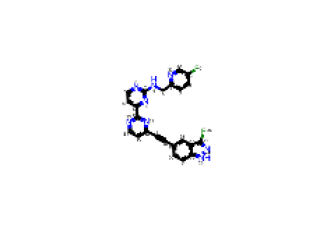 Fc1ccc(CNc2nccc(-c3nccc(C#Cc4ccc5[nH]nc(F)c5c4)n3)n2)nc1